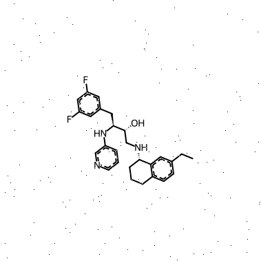 CCc1ccc2c(c1)[C@@H](NC[C@@H](O)[C@H](Cc1cc(F)cc(F)c1)Nc1cccnc1)CCC2